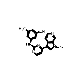 Cc1cc(C#N)cc(Nc2nccc(-c3cn(C(C)C)c4cnccc34)n2)c1